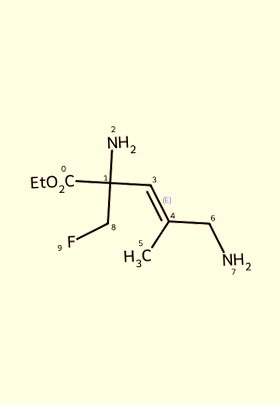 CCOC(=O)C(N)(/C=C(\C)CN)CF